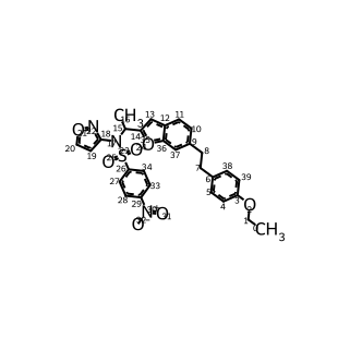 CCOc1ccc(CCc2ccc3cc(C(C)N(c4ccon4)S(=O)(=O)c4ccc([N+](=O)[O-])cc4)oc3c2)cc1